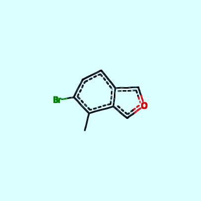 Cc1c(Br)ccc2cocc12